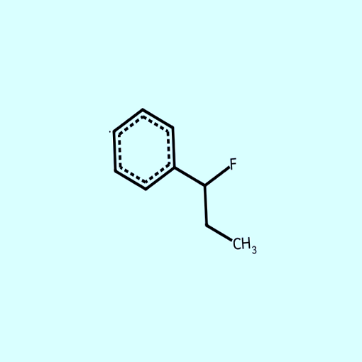 CCC(F)c1cc[c]cc1